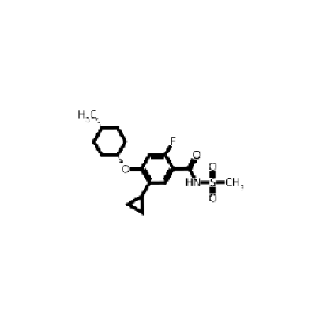 CS(=O)(=O)NC(=O)c1cc(C2CC2)c(O[C@H]2CC[C@@H](C)CC2)cc1F